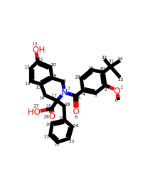 COc1cc(C(=O)N2Cc3cc(O)ccc3CC2(Cc2ccccc2)C(=O)O)ccc1C(C)(C)C